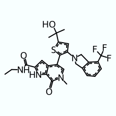 CCNC(=O)c1cc2c(-c3sc(C(C)(C)O)cc3N3Cc4cccc(C(F)(F)F)c4C3)cn(C)c(=O)c2[nH]1